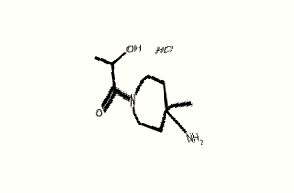 CC(O)C(=O)N1CCC(C)(N)CC1.Cl